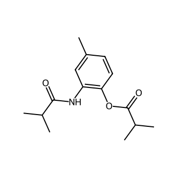 Cc1ccc(OC(=O)C(C)C)c(NC(=O)C(C)C)c1